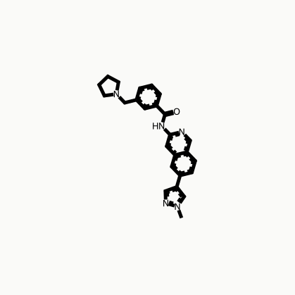 Cn1cc(-c2ccc3cnc(NC(=O)c4cccc(CN5CCCC5)c4)cc3c2)cn1